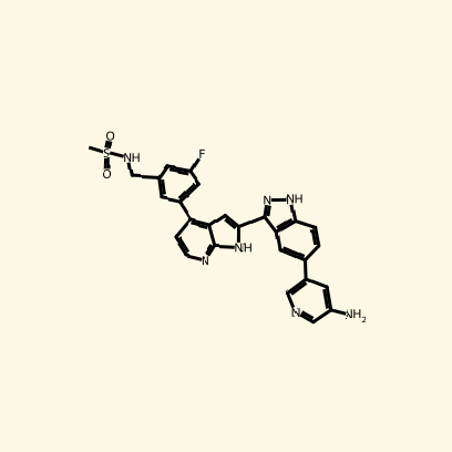 CS(=O)(=O)NCc1cc(F)cc(-c2ccnc3[nH]c(-c4n[nH]c5ccc(-c6cncc(N)c6)cc45)cc23)c1